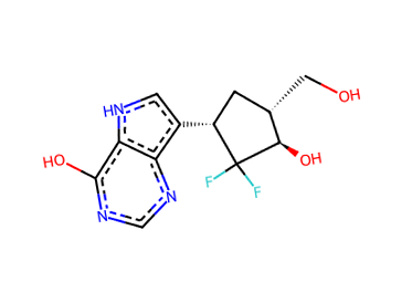 OC[C@H]1C[C@@H](c2c[nH]c3c(O)ncnc23)C(F)(F)[C@@H]1O